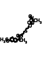 COc1ccc2cc([C@H](C)C(=O)OCCCSCCCOC(=O)OC(C)ON=O)ccc2c1